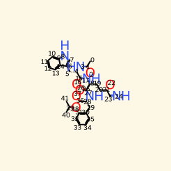 CC(=O)N[C@@H](Cc1c[nH]c2ccccc12)C(=O)N[C@@H](CCC(=O)C=N)C(=O)N[C@@H](Cc1ccccc1)C(=O)OC(C)C